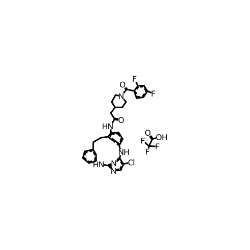 O=C(CC1CCN(C(=O)c2ccc(F)cc2F)CC1)Nc1ccc2cc1CCc1cccc(c1)Nc1ncc(Cl)c(n1)N2.O=C(O)C(F)(F)F